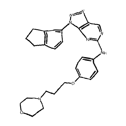 c1cc(OCCCN2CCOCC2)ccc1Nc1ncc2nnn(-c3ccc4c(c3)CCC4)c2n1